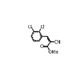 COC(=O)C(C#N)=Cc1cccc(Cl)c1Cl